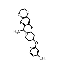 Cc1ccnc(OC2CCN(C(C)c3nc4c(cc3F)OCCO4)CC2)c1